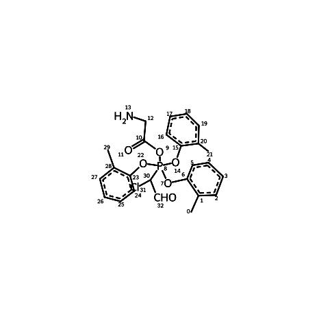 Cc1ccccc1OP(OC(=O)CN)(Oc1ccccc1C)(Oc1ccccc1C)C(Cl)C=O